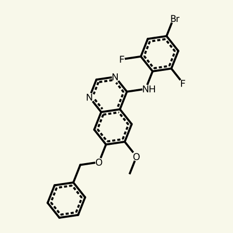 COc1cc2c(Nc3c(F)cc(Br)cc3F)ncnc2cc1OCc1ccccc1